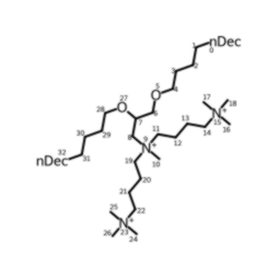 CCCCCCCCCCCCCCOCC(C[N+](C)(CCCC[N+](C)(C)C)CCCC[N+](C)(C)C)OCCCCCCCCCCCCCC